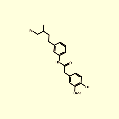 COc1cc(CC(=O)Nc2cccc(CCC(C)CC(C)C)c2)ccc1O